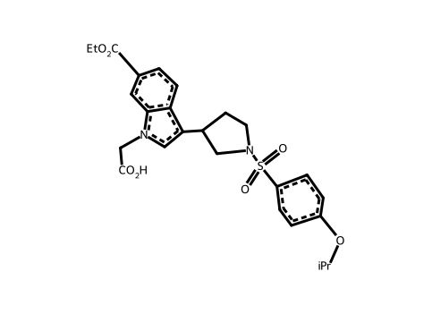 CCOC(=O)c1ccc2c(C3CCN(S(=O)(=O)c4ccc(OC(C)C)cc4)C3)cn(CC(=O)O)c2c1